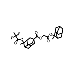 CC(F)(F)C(=O)OC1(C)C2CC3CC1CC(C(=O)OCC(=O)OC1(C)C4CC5CC(C4)CC1C5)(C3)C2